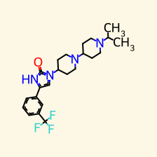 CC(C)N1CCC(N2CCC(n3cc(-c4cccc(C(F)(F)F)c4)[nH]c3=O)CC2)CC1